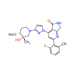 CO[C@@H]1CCN(c2ccn(-c3cc(-c4c(F)cccc4C#N)nc4c3C(=O)NC4)n2)C[C@]1(C)O